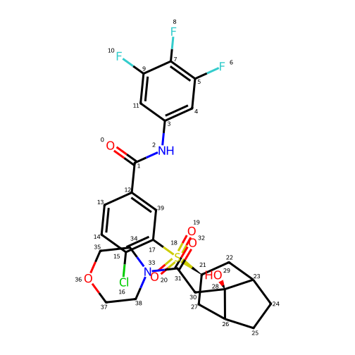 O=C(Nc1cc(F)c(F)c(F)c1)c1ccc(Cl)c(S(=O)(=O)[C@H]2CC3CCC(C2)[C@]3(O)CC(=O)N2CCOCC2)c1